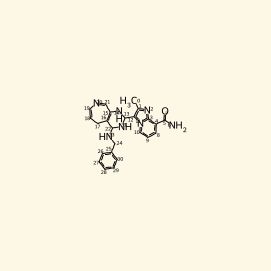 Cc1nc2c(C(N)=O)cccn2c1C1NC2=C(CC=CN=C2)C(NCc2ccccc2)N1